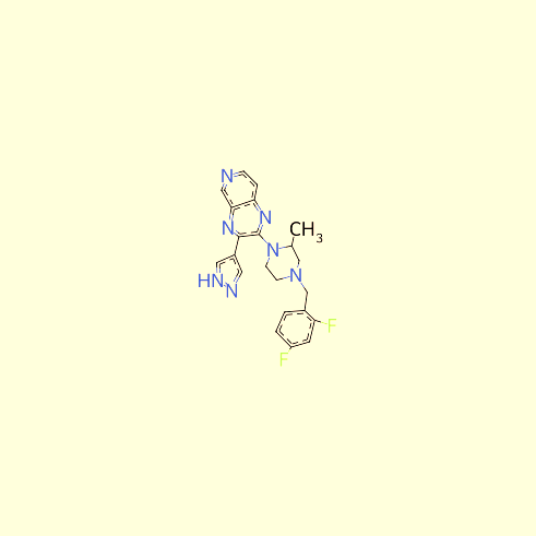 CC1CN(Cc2ccc(F)cc2F)CCN1c1nc2ccncc2nc1-c1cn[nH]c1